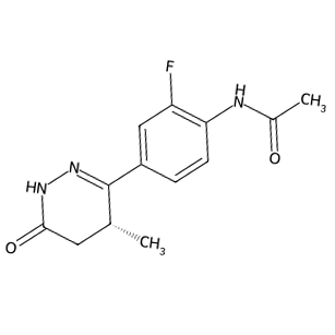 CC(=O)Nc1ccc(C2=NNC(=O)C[C@H]2C)cc1F